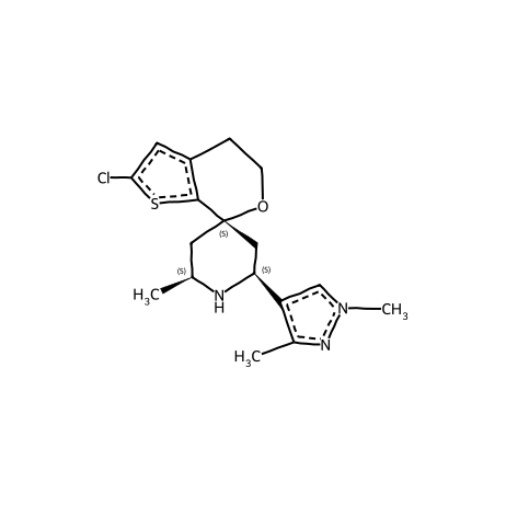 Cc1nn(C)cc1[C@@H]1C[C@]2(C[C@H](C)N1)OCCc1cc(Cl)sc12